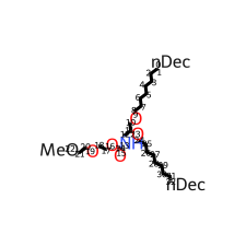 CCCCCCCCCCCCCCCCCCOCC(CNC(=O)OCCOCCOC)OCCCCCCCCCCCCCCCCCC